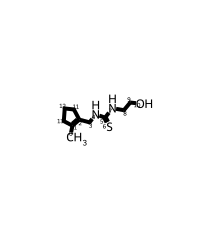 CC1=C(CNC(=S)NCCO)CCC1